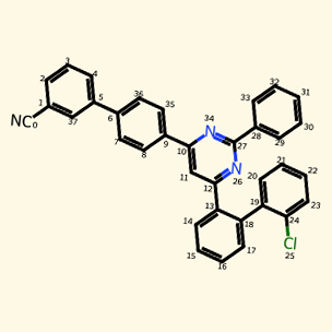 N#Cc1cccc(-c2ccc(-c3cc(-c4ccccc4-c4ccccc4Cl)nc(-c4ccccc4)n3)cc2)c1